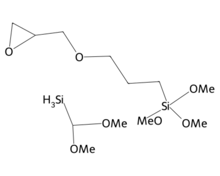 COC([SiH3])OC.CO[Si](CCCOCC1CO1)(OC)OC